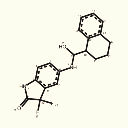 O=C1Nc2ccc(NC(O)C3CCCc4ccccc43)cc2C1(F)F